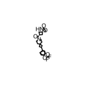 O=C1N[C@]2(CO1)C[C@H](C(=O)N1CCC3(CC1)CC(c1ccc4c(c1)OC(F)(F)O4)C3)C2